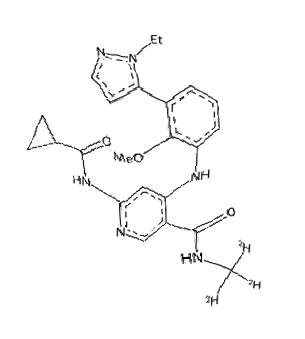 [2H]C([2H])([2H])NC(=O)c1cnc(NC(=O)C2CC2)cc1Nc1cccc(-c2ccnn2CC)c1OC